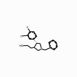 OCCC1CN(Cc2ccccc2)C[C@H]1c1ccc(F)c(Cl)c1